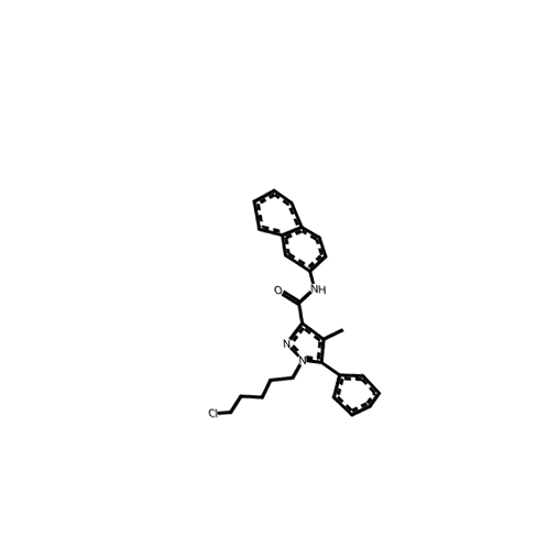 Cc1c(C(=O)Nc2ccc3ccccc3c2)nn(CCCCCCl)c1-c1ccccc1